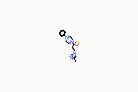 Cc1cn(CCC(=O)N2CCN(c3ccccc3)CC2)cn1